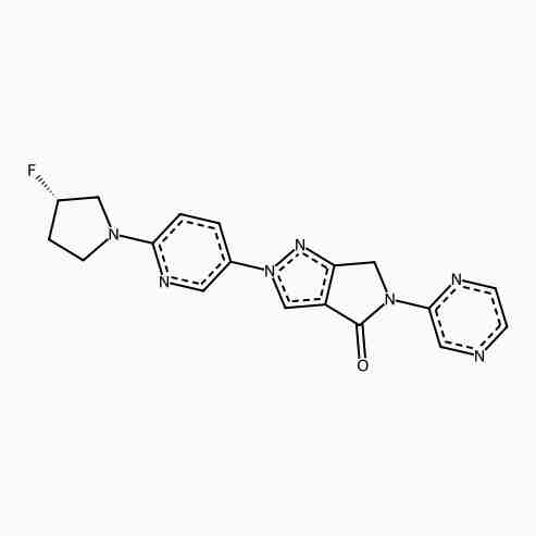 O=C1c2cn(-c3ccc(N4CC[C@H](F)C4)nc3)nc2CN1c1cnccn1